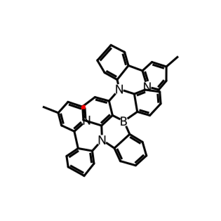 Cc1ccnc(-c2ccccc2N2c3ccccc3B3c4ccccc4N(c4ccccc4-c4cc(C)ccn4)c4cccc2c43)c1